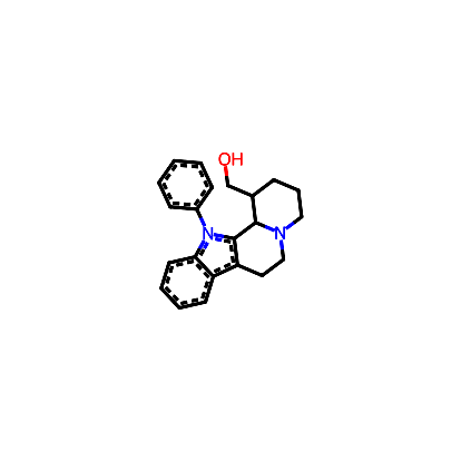 OCC1CCCN2CCc3c(n(-c4ccccc4)c4ccccc34)C12